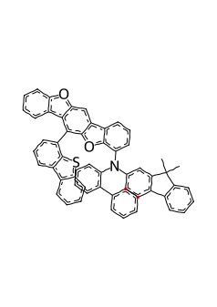 CC1(C)c2ccccc2-c2ccc(N(c3ccccc3-c3ccccc3)c3cccc4c3oc3c(-c5cccc6c5sc5ccccc56)c5c(cc34)oc3ccccc35)cc21